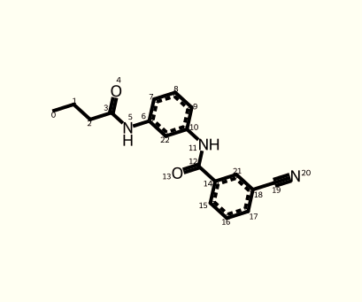 CCCC(=O)Nc1cccc(NC(=O)c2cccc(C#N)c2)c1